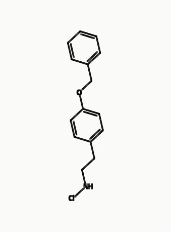 ClNCCc1ccc(OCc2ccccc2)cc1